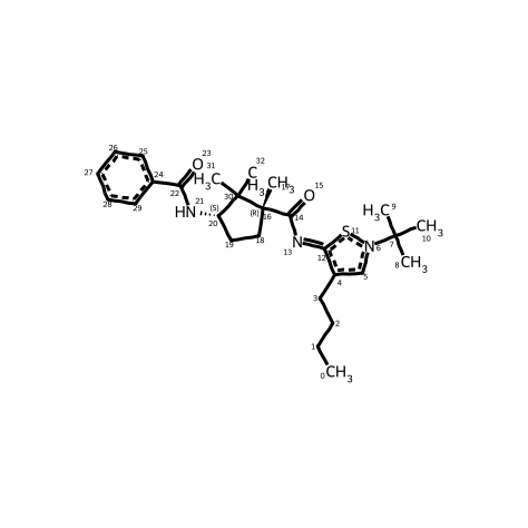 CCCCc1cn(C(C)(C)C)sc1=NC(=O)[C@]1(C)CC[C@H](NC(=O)c2ccccc2)C1(C)C